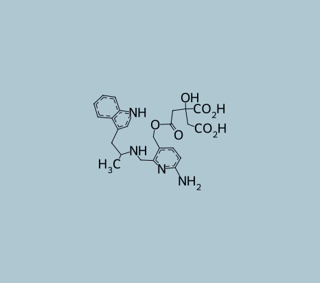 CC(Cc1c[nH]c2ccccc12)NCc1nc(N)ccc1COC(=O)CC(O)(CC(=O)O)C(=O)O